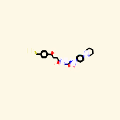 O=C(CCC(=O)c1ccc(CS)cc1)NCC1CN(c2ccc(N3CCCCC3)c(F)c2)C(=O)O1